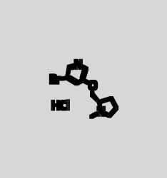 CN1CCC[C@@H]1COc1cncc(Br)c1.Cl